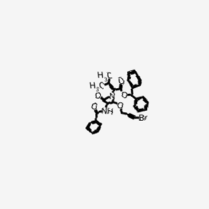 CC(C)=C(C(=O)OC(c1ccccc1)c1ccccc1)N1C(=O)C(NC(=O)c2ccccc2)C1OCC#CBr